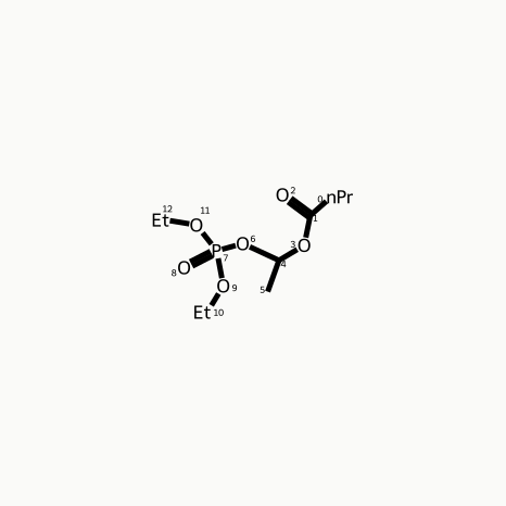 CCCC(=O)OC(C)OP(=O)(OCC)OCC